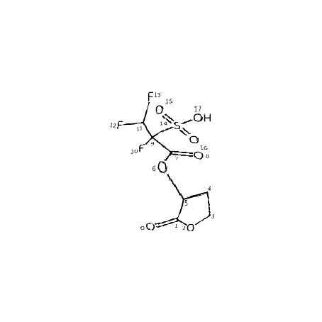 O=C1OCCC1OC(=O)C(F)(C(F)F)S(=O)(=O)O